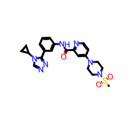 CS(=O)(=O)N1CCN(c2ccnc(C(=O)Nc3cccc(-c4nncn4C4CC4)c3)c2)CC1